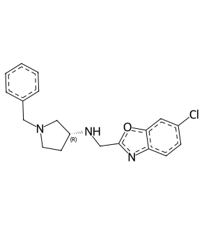 Clc1ccc2nc(CN[C@@H]3CCN(Cc4ccccc4)C3)oc2c1